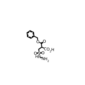 NNS(=O)(=O)CC(C(=O)O)C(=O)OCc1ccccc1